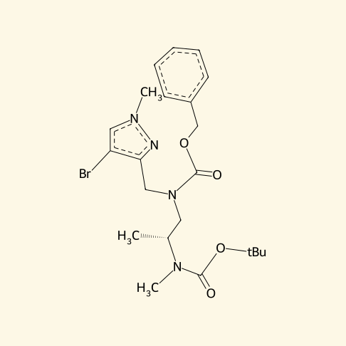 C[C@H](CN(Cc1nn(C)cc1Br)C(=O)OCc1ccccc1)N(C)C(=O)OC(C)(C)C